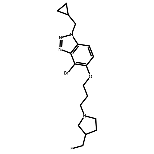 FCC1CCN(CCCOc2ccc3c(nnn3CC3CC3)c2Br)C1